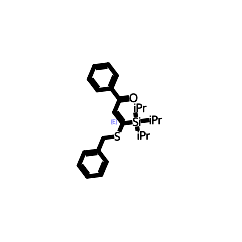 CC(C)[Si](/C(=C\C(=O)c1ccccc1)SCc1ccccc1)(C(C)C)C(C)C